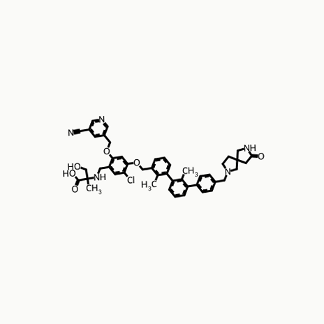 Cc1c(COc2cc(OCc3cncc(C#N)c3)c(CNC(C)(CO)C(=O)O)cc2Cl)cccc1-c1cccc(-c2ccc(CN3CCC4(CNC(=O)C4)C3)cc2)c1C